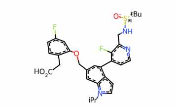 CC(C)n1ccc2c(-c3ccnc(CN[S@@+]([O-])C(C)(C)C)c3F)cc(COc3cc(F)ccc3CC(=O)O)cc21